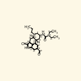 CCCN1C[C@@H](NC(=O)N(CC)CC)C[C@@H]2c3cc(C=O)cc4[nH]c(Cl)c(c34)C[C@H]21